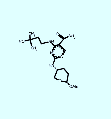 CO[C@H]1CC[C@H](Nc2ncc(C(N)=O)c(NCCC(C)(C)O)n2)CC1